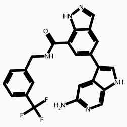 Nc1cc2c(-c3cc(C(=O)NCc4cccc(C(F)(F)F)c4)c4[nH]ncc4c3)c[nH]c2cn1